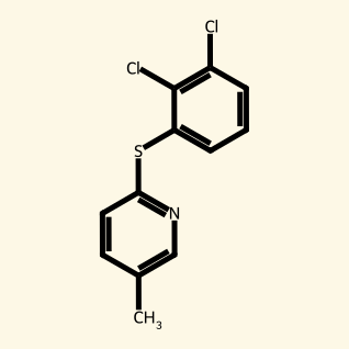 Cc1ccc(Sc2cccc(Cl)c2Cl)nc1